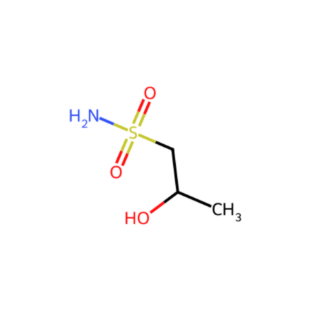 CC(O)CS(N)(=O)=O